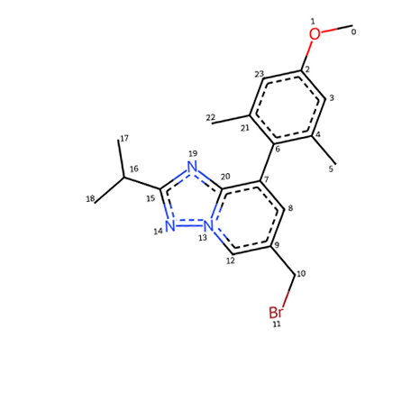 COc1cc(C)c(-c2cc(CBr)cn3nc(C(C)C)nc23)c(C)c1